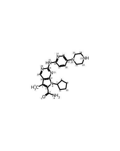 Cc1c(C(N)=O)n(C2CCCC2)c2nc(Nc3ccc(N4CCNCC4)cn3)ncc12